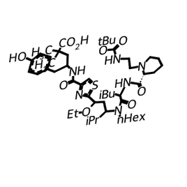 CCCCCCN(C(=O)C(NC(=O)[C@H]1CCCCN1CCNC(=O)OC(C)(C)C)C(C)CC)C(CC(OCC)c1nc(C(=O)NC(Cc2ccc(O)cc2)CC(C)(C)C(=O)O)cs1)C(C)C